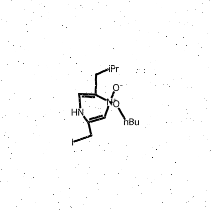 CCCCO[N+]1([O-])C=C(CI)NC=C1CC(C)C